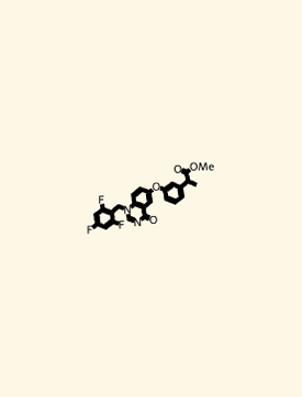 COC(=O)C(C)c1cccc(Oc2ccc3c(c2)c(=O)ncn3Cc2c(F)cc(F)cc2F)c1